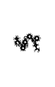 CCC(C)C1=CC([n+]2cn(-c3cccc(OC4=CC[C@H]5C(=C4)N(c4cc(C(C)(C)C)ccn4)c4ccccc45)c3)c3ccccc32)=C1